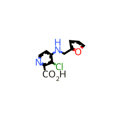 O=C(O)c1nccc(NCc2ccco2)c1Cl